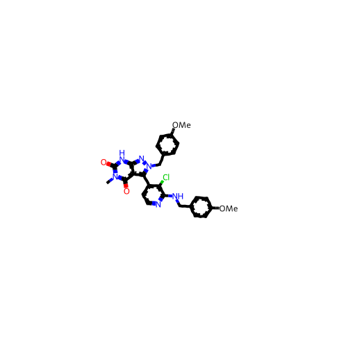 COc1ccc(CNc2nccc(-c3c4c(=O)n(C)c(=O)[nH]c4nn3Cc3ccc(OC)cc3)c2Cl)cc1